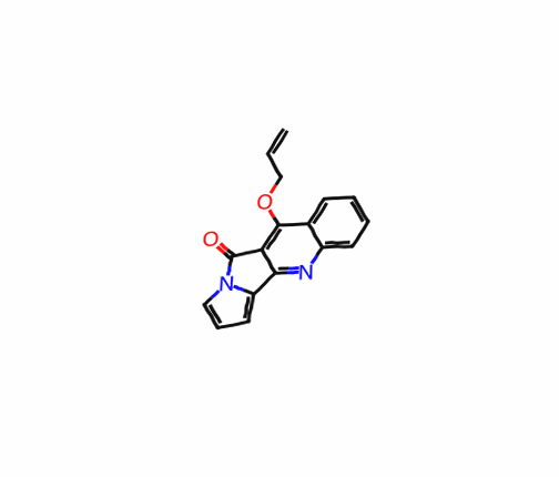 C=CCOc1c2c(nc3ccccc13)-c1cccn1C2=O